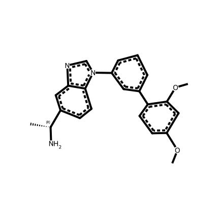 COc1ccc(-c2cccc(-n3cnc4cc([C@@H](C)N)ccc43)c2)c(OC)c1